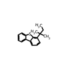 CCC(C)(C)c1cccc2c1sc1ccccc12